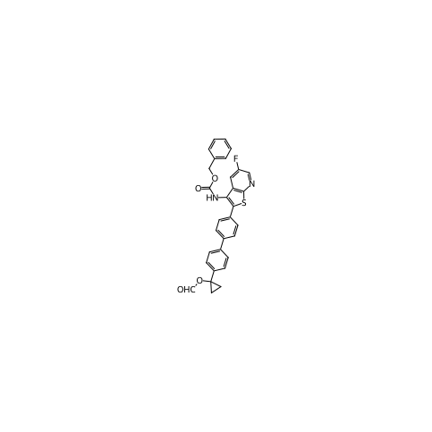 O=COC1(c2ccc(-c3ccc(-c4sc5ncc(F)cc5c4NC(=O)OCc4ccccc4)cc3)cc2)CC1